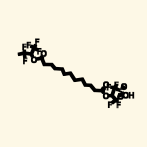 CC(F)(F)C(OC(=O)CCCCCCCCCCCC(=O)OC(C(F)(F)F)C(F)(F)S(=O)(=O)O)C(F)(F)F